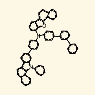 c1ccc(-c2cccc(-c3ccc(N(c4ccc(-c5ccc6c7ccc8ccccc8c7n(-c7ccccc7)c6c5)cc4)c4cccc5c4oc4c6ccccc6ccc54)cc3)c2)cc1